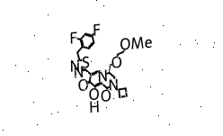 COCCOC[C@H]1CN(C2CCC2)C(=O)c2c(O)c(=O)c(-c3nnc(Cc4ccc(F)cc4F)s3)cn21